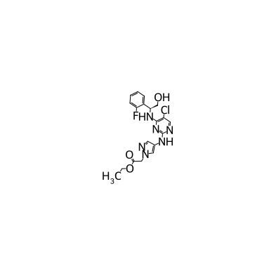 CCOC(=O)Cn1cc(Nc2ncc(Cl)c(N[C@H](CO)c3ccccc3F)n2)cn1